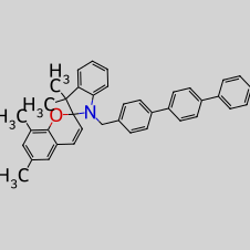 Cc1cc(C)c2c(c1)C=CC1(O2)N(Cc2ccc(-c3ccc(-c4ccccc4)cc3)cc2)c2ccccc2C1(C)C